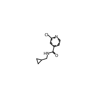 O=C(NCC1CC1)c1ccnc(Cl)c1